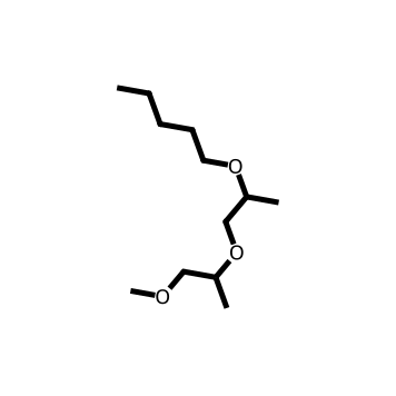 CCCCCOC(C)COC(C)COC